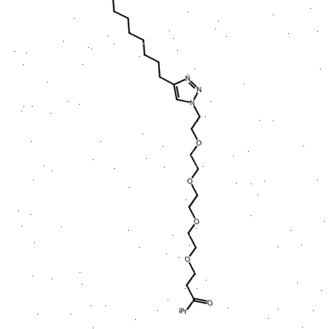 CC(C)CCCCCCCc1cn(CCOCCOCCOCCOCCC(=O)C(C)C)nn1